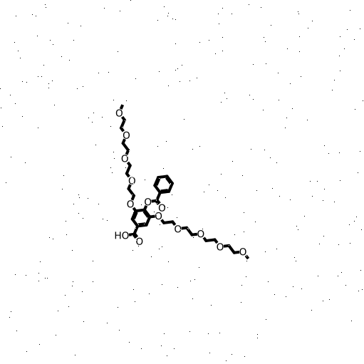 COCCOCCOCCOCCOc1cc(C(=O)O)cc(OCCOCCOCCOCCOC)c1OC(=O)c1ccccc1